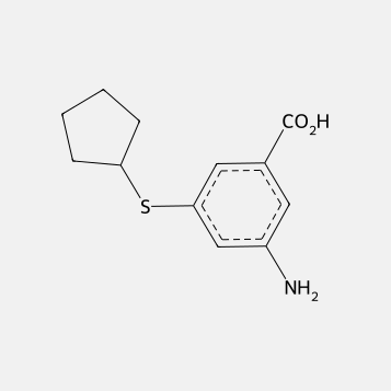 Nc1cc(SC2CCCC2)cc(C(=O)O)c1